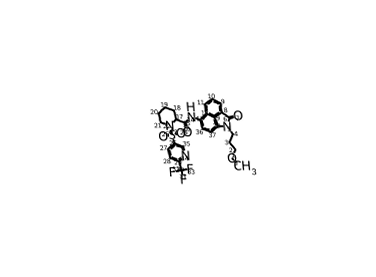 COCCCN1C(=O)c2cccc3c(NC(=O)C4CCCCN4S(=O)(=O)c4ccc(C(F)(F)F)nc4)ccc1c23